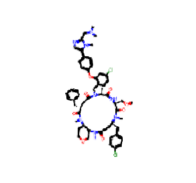 COC[C@@H]1NC(=O)[C@H](C)N(Cc2ccc(Cl)cc2Oc2ccc(-c3cnc(CN(C)C)n3C)cc2)C(=O)C[C@@H](Cc2ccccc2)C(=O)N(C)C2CCOCC2NC(=O)C[C@H](Cc2ccc(Cl)cc2)N(C)C1=O